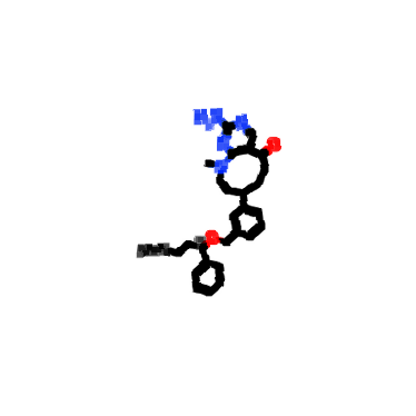 CNCC[C@@H](OCc1cccc(C2CCC(=O)c3cnc(N)nc3N(C)CC2)c1)c1ccccc1